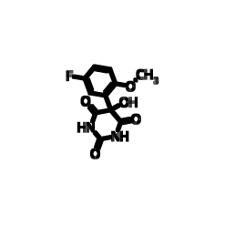 COc1ccc(F)cc1C1(O)C(=O)NC(=O)NC1=O